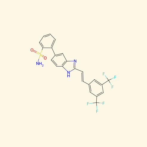 NS(=O)(=O)c1ccccc1-c1ccc2[nH]c(/C=C/c3cc(C(F)(F)F)cc(C(F)(F)F)c3)nc2c1